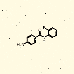 Nc1ccc(C(=O)Nc2ccccc2F)cc1